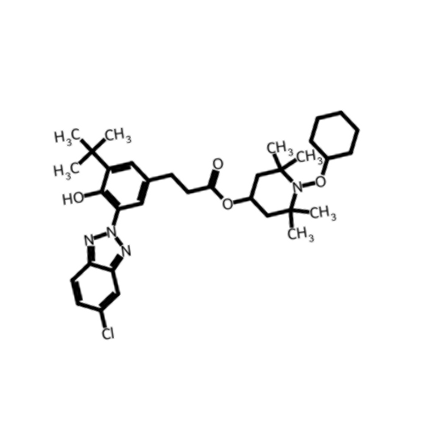 CC(C)(C)c1cc(CCC(=O)OC2CC(C)(C)N(OC3CCCCC3)C(C)(C)C2)cc(-n2nc3ccc(Cl)cc3n2)c1O